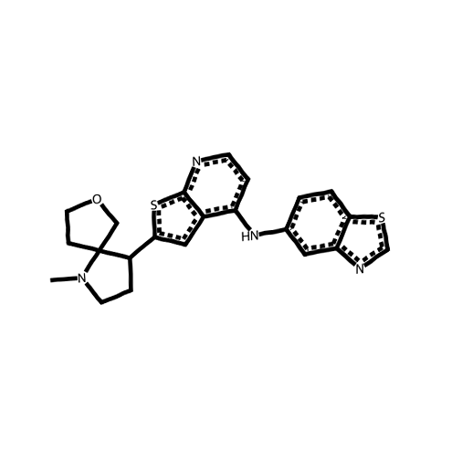 CN1CCC(c2cc3c(Nc4ccc5scnc5c4)ccnc3s2)C12CCOC2